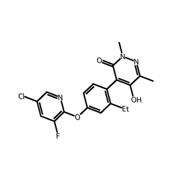 CCc1cc(Oc2ncc(Cl)cc2F)ccc1-c1c(O)c(C)nn(C)c1=O